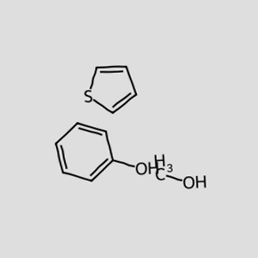 CO.Oc1ccccc1.c1ccsc1